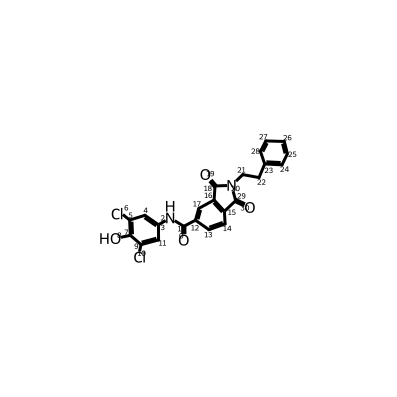 O=C(Nc1cc(Cl)c(O)c(Cl)c1)c1ccc2c(c1)C(=O)N(CCc1ccccc1)C2=O